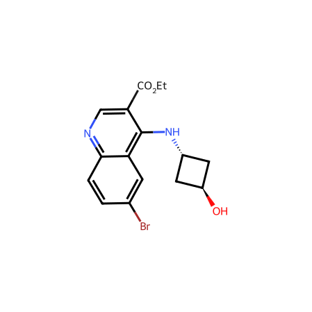 CCOC(=O)c1cnc2ccc(Br)cc2c1N[C@H]1C[C@H](O)C1